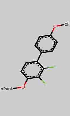 CCCCCOc1ccc(-c2ccc(OC(F)(F)F)cc2)c(F)c1F